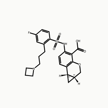 O=C(O)c1c(NS(=O)(=O)c2ccc(F)cc2CCCN2CCC2)ccc2c1OC[C@@H]1C[C@H]21